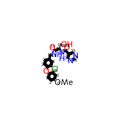 COc1ccc(Oc2ccc(CNC(=O)[C@H](CO)NC(=O)c3cncnc3)cc2)c(Cl)c1